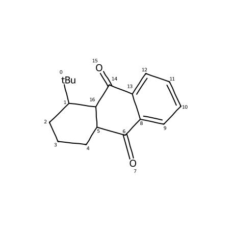 CC(C)(C)C1CCCC2C(=O)c3ccccc3C(=O)C21